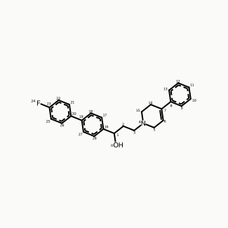 OC(CCN1CC=C(c2ccccc2)CC1)c1ccc(-c2ccc(F)cc2)cc1